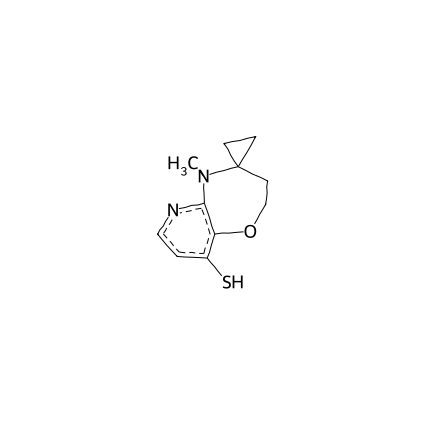 CN1c2nccc(S)c2OCCC12CC2